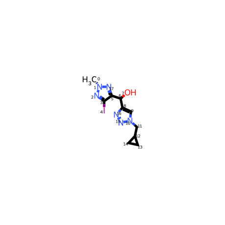 Cn1nc(I)c(C(O)c2cn(CC3CC3)nn2)n1